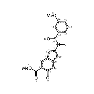 COC(=O)c1cc2sc(N(C)[S+]([O-])c3cccc(OC)c3)cc2oc1=O